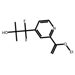 C=C(OCC)c1cc(C(F)(F)C(C)(C)O)ccn1